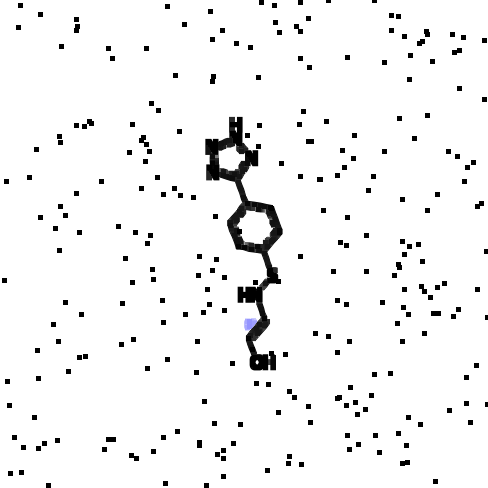 O/C=C/NSc1ccc(-c2nn[nH]n2)cc1